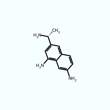 C[C@@H](N)c1cc(N)c2cc(N)ccc2c1